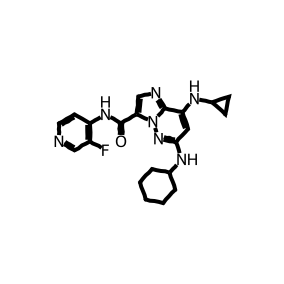 O=C(Nc1ccncc1F)c1cnc2c(NC3CC3)cc(NC3CCCCC3)nn12